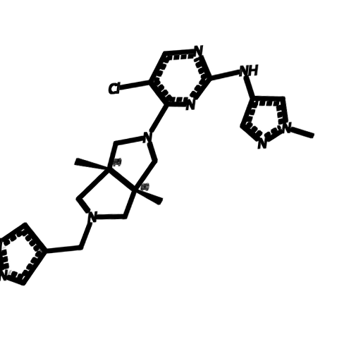 Cn1cc(Nc2ncc(Cl)c(N3C[C@]4(C)CN(Cc5cn[nH]c5)C[C@]4(C)C3)n2)cn1